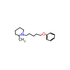 CC1CCCCN1CCCCCOc1ccccc1